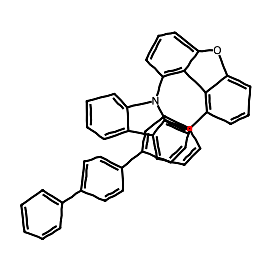 c1ccc(-c2ccc(-c3ccc(-c4cccc5oc6cccc(-n7c8ccccc8c8ccccc87)c6c45)cc3)cc2)cc1